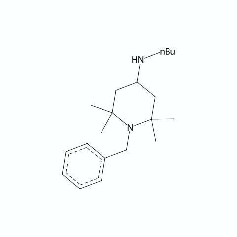 CCCCNC1CC(C)(C)N(Cc2ccccc2)C(C)(C)C1